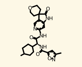 Cc1cc(C(=O)N[C@H](C(=O)Nc2cc3c(cn2)C2(CCOCC2)C(=O)N3)C2CCC(C)CC2)on1